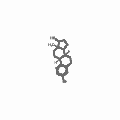 C[C@]12CC[C@@H]3c4ccc(O)cc4CC[C@H]3C1CCC2O